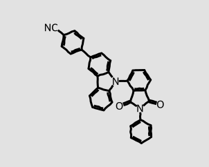 N#Cc1ccc(-c2ccc3c(c2)c2ccccc2n3-c2cccc3c2C(=O)N(c2ccccc2)C3=O)cc1